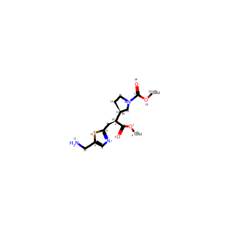 CC(C)(C)OC(=O)[C@@H](Cc1ncc(CN)s1)[C@H]1CCN(C(=O)OC(C)(C)C)C1